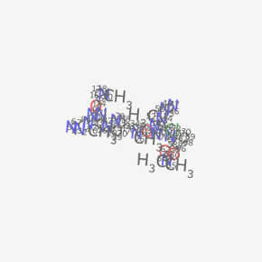 C[C@@H]1Cn2cncc2CN1c1nc(OC[C@@H]2CCCN2C)nc2c1CCN(c1cccc3c(C4C[C@@H](COc5nc6c(c(N7Cc8cncn8C[C@H]7C)n5)CCN(c5cc(OC(=O)N(C)C)cc7cccc(Cl)c57)C6)N(C)C4)ccnc13)C2